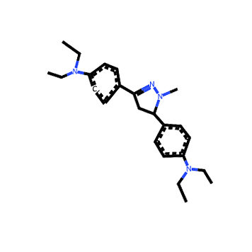 CCN(CC)c1ccc(C2=NN(C)C(c3ccc(N(CC)CC)cc3)C2)cc1